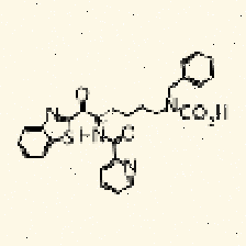 O=C(N[C@@H](CCCCN(Cc1ccccc1)C(=O)O)C(=O)c1nc2ccccc2s1)c1ccccn1